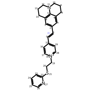 C(=C\c1cc2c3c(c1)CCCN3CCC2)/c1cc[n+](CCSc2ccccn2)cc1